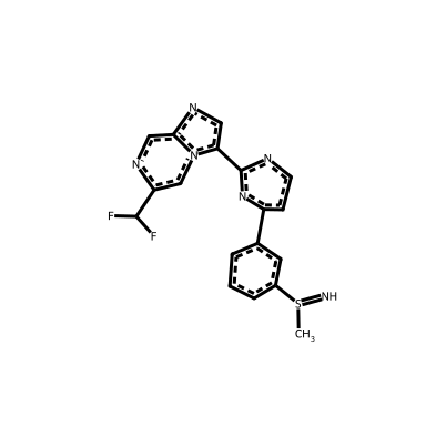 CS(=N)c1cccc(-c2ccnc(-c3cnc4cnc(C(F)F)cn34)n2)c1